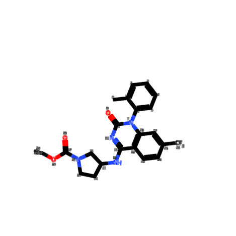 Cc1ccccc1-n1c(=O)nc(NC2CCN(C(=O)OC(C)(C)C)C2)c2ccc(C(F)(F)F)cc21